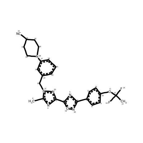 Cc1nc(-c2nc(-c3ccc(OC(C)(F)F)cc3)no2)nn1Cc1cccc(N2CCC(C#N)CC2)c1